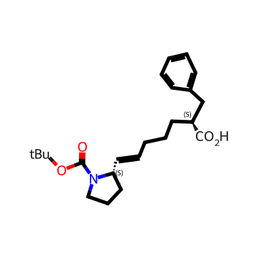 CC(C)(C)OC(=O)N1CCC[C@H]1C=CCCC[C@@H](Cc1ccccc1)C(=O)O